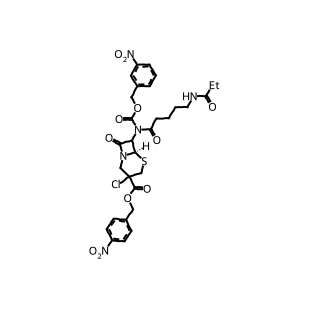 CCC(=O)NCCCCC(=O)N(C(=O)OCc1cccc([N+](=O)[O-])c1)C1C(=O)N2CC(Cl)(C(=O)OCc3ccc([N+](=O)[O-])cc3)CS[C@H]12